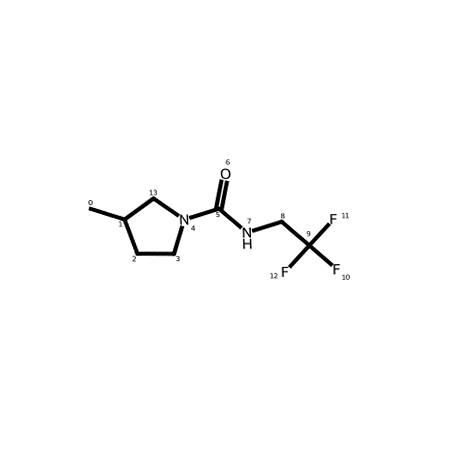 CC1CCN(C(=O)NCC(F)(F)F)C1